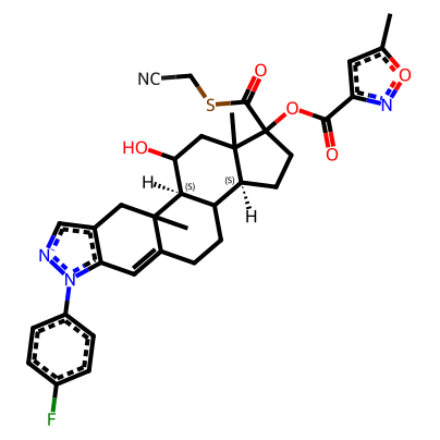 Cc1cc(C(=O)OC2(C(=O)SCC#N)CC[C@H]3C4CCC5=Cc6c(cnn6-c6ccc(F)cc6)CC5(C)[C@H]4C(O)CC32C)no1